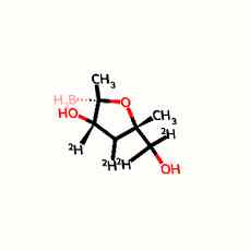 [2H]C1[C@@](C)(C([2H])([2H])O)O[C@](B)(C)[C@@]1([2H])O